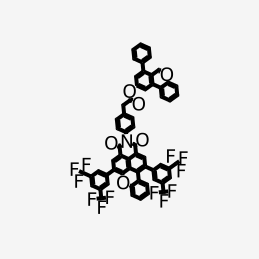 O=Cc1c(-c2ccccc2)cc(OC(=O)Cc2ccc(-n3c(=O)c4cc(-c5cc(C(F)(F)F)cc(C(F)(F)F)c5)c5oc6ccccc6c6c(-c7cc(C(F)(F)F)cc(C(F)(F)F)c7)cc(c3=O)c4c56)cc2)cc1-c1ccccc1